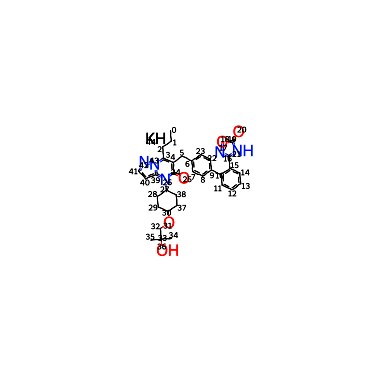 CCCc1c(Cc2ccc(-c3ccccc3-c3noc(=O)[nH]3)cc2)c(=O)n(C2CCC(OCC(C)(C)O)CC2)c2ccnn12.[KH]